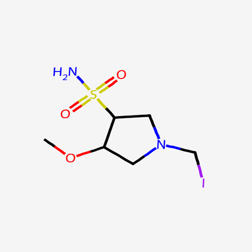 COC1CN(CI)CC1S(N)(=O)=O